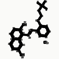 C[N+](C)(C)CCOc1ccccc1N=Nc1c(O)ccc2ccc(O)cc12.[Cl-]